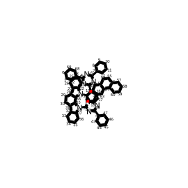 c1ccc(-c2nc(-c3ccccc3)nc(-c3ccccc3-n3c4ccccc4c4ccc5c6ccccc6n(-c6nc(-c7ccccc7)nc(-c7ccc8ccc9ccccc9c8c7)n6)c5c43)n2)cc1